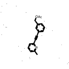 CC(=O)OCc1cccc(C#Cc2cccc(C)n2)c1